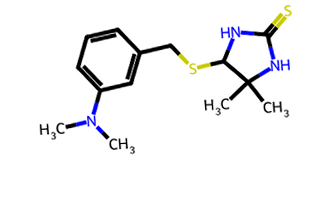 CN(C)c1cccc(CSC2NC(=S)NC2(C)C)c1